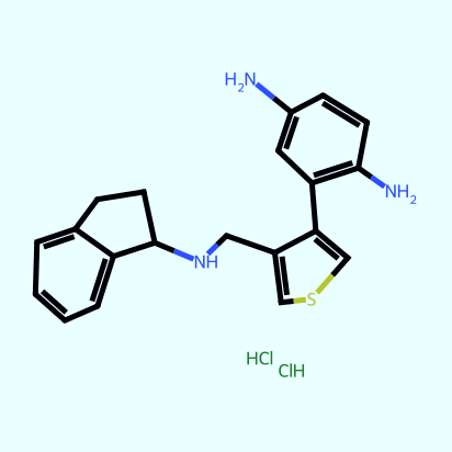 Cl.Cl.Nc1ccc(N)c(-c2cscc2CNC2CCc3ccccc32)c1